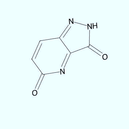 O=C1C=CC2=NNC(=O)C2=N1